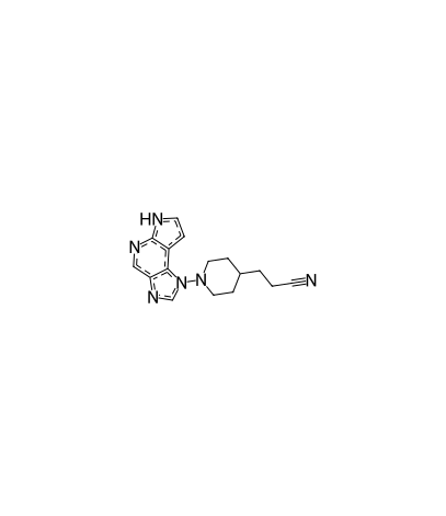 N#CCCC1CCN(n2cnc3cnc4[nH]ccc4c32)CC1